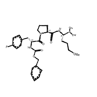 COCCC[C@H](NC(=O)[C@@H]1CCCN1C(=O)[C@@H](Cc1ccc(F)cc1)NC(=O)OCc1ccccc1)B(O)O